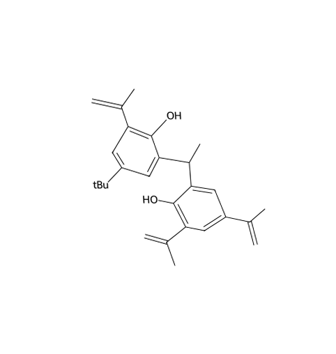 C=C(C)c1cc(C(=C)C)c(O)c(C(C)c2cc(C(C)(C)C)cc(C(=C)C)c2O)c1